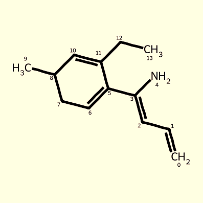 C=C/C=C(\N)C1=CCC(C)C=C1CC